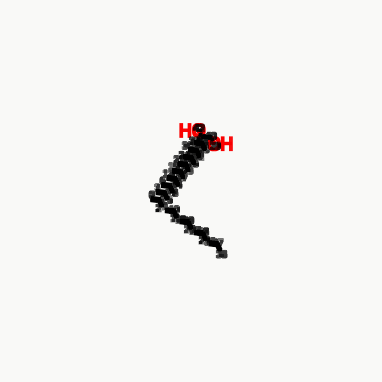 C=CC.C=CC.C=CC.C=CC.C=CC.C=CC.C=CC.C=CC.C=CC.C=CC.C=CC.C=CC.C=CC.OCCO